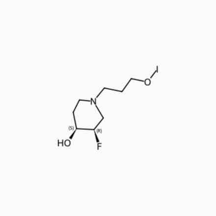 O[C@H]1CCN(CCCOI)C[C@H]1F